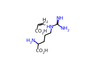 C=CC(=O)O.N=C(N)NCCCC(N)C(=O)O